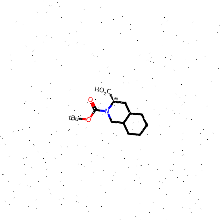 CC(C)(C)OC(=O)N1CC2CCCCC2C[C@@H]1C(=O)O